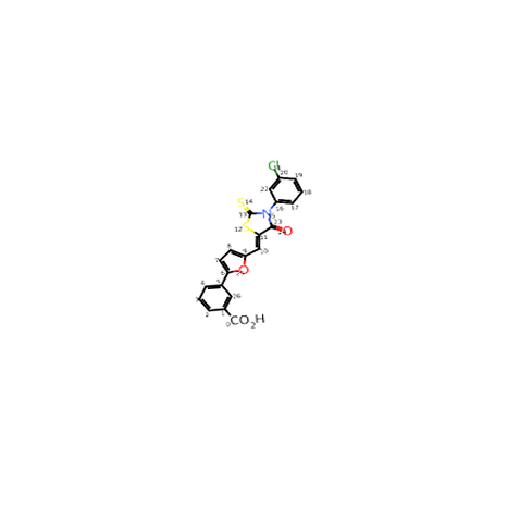 O=C(O)c1cccc(-c2ccc(/C=C3\SC(=S)N(c4cccc(Cl)c4)C3=O)o2)c1